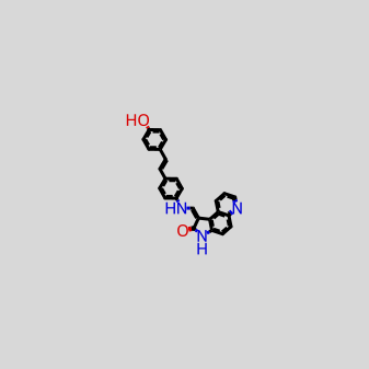 O=C1Nc2ccc3ncccc3c2C1=CNc1ccc(C=Cc2ccc(O)cc2)cc1